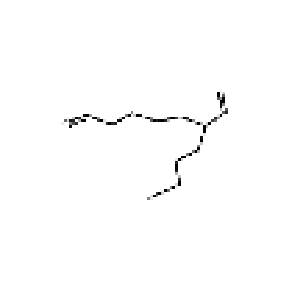 C=CC(CCCC)CCCCC=O